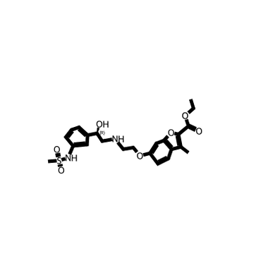 CCOC(=O)c1oc2cc(OCCNC[C@H](O)c3cccc(NS(C)(=O)=O)c3)ccc2c1C